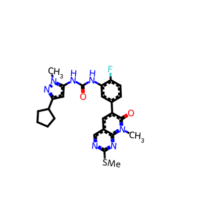 CSc1ncc2cc(-c3ccc(F)c(NC(=O)Nc4cc(C5CCCC5)nn4C)c3)c(=O)n(C)c2n1